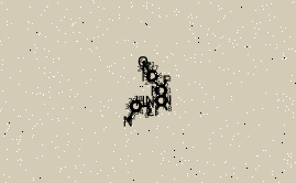 CCC(Nc1c(Cl)c(C)nc2cc(F)c(-c3ccc(P(C)(C)=O)nc3)nc12)c1cccc(C#N)c1